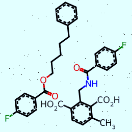 Cc1ccc(C(=O)O)c(CNC(=O)c2ccc(F)cc2)c1C(=O)O.O=C(OCCCCCc1ccccc1)c1ccc(F)cc1